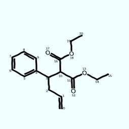 C=CCC(c1ccccc1)C(C(=O)OCC)C(=O)OCC